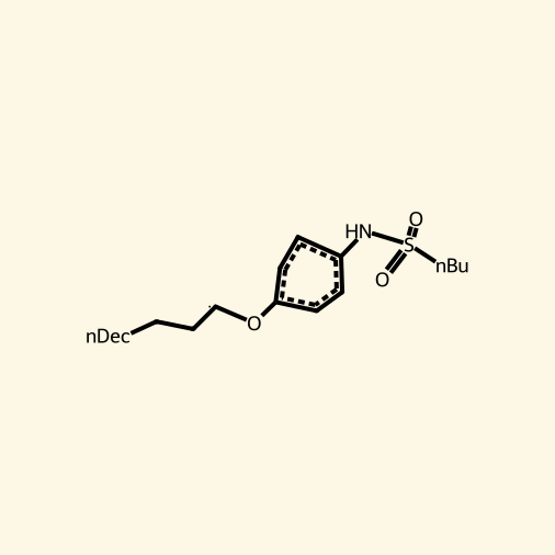 CCCCCCCCCCCC[CH]Oc1ccc(NS(=O)(=O)CCCC)cc1